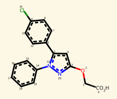 O=C(O)COc1cc(-c2ccc(Cl)cc2)n(-c2ccccc2)n1